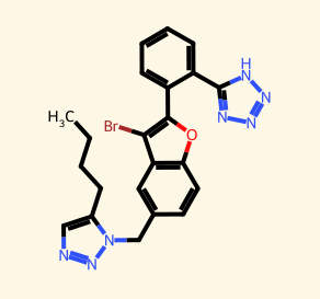 CCCCc1cnnn1Cc1ccc2oc(-c3ccccc3-c3nnn[nH]3)c(Br)c2c1